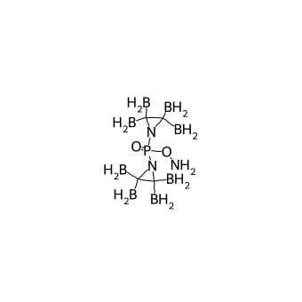 BC1(B)N(P(=O)(ON)N2C(B)(B)C2(B)B)C1(B)B